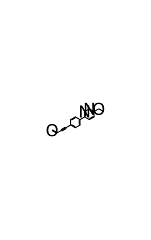 COc1ccc(-c2ccc(C#CC=O)cc2)nn1